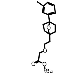 Cc1cccc(C23CCC(CCOCC(=O)OC(C)(C)C)(CC2)CO3)c1